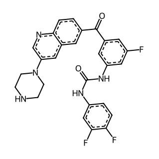 O=C(Nc1cc(F)cc(C(=O)c2ccc3ncc(N4CCNCC4)cc3c2)c1)Nc1ccc(F)c(F)c1